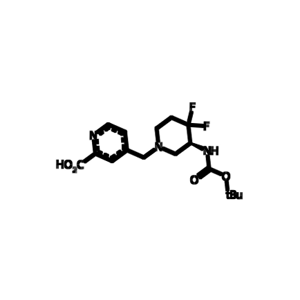 CC(C)(C)OC(=O)N[C@H]1CN(Cc2ccnc(C(=O)O)c2)CCC1(F)F